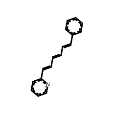 C(=C\C=C\c1ccccn1)/C=C/c1ccccc1